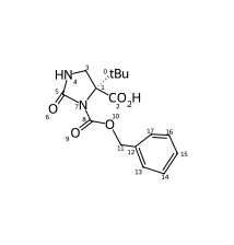 CC(C)(C)[C@@]1(C(=O)O)CNC(=O)N1C(=O)OCc1ccccc1